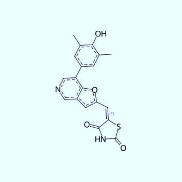 Cc1cc(-c2cncc3cc(/C=C4/SC(=O)NC4=O)oc23)cc(C)c1O